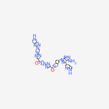 Nc1ncnc2c1c(-c1cnc3[nH]ccc3c1)nn2Cc1ccc2c(c1)CCN(C(=O)c1cnc(N3CCN(C(=O)c4cnc(N5CCN(c6ncc7c(n6)CCNC7)CC5)nc4)CC3)nc1)C2